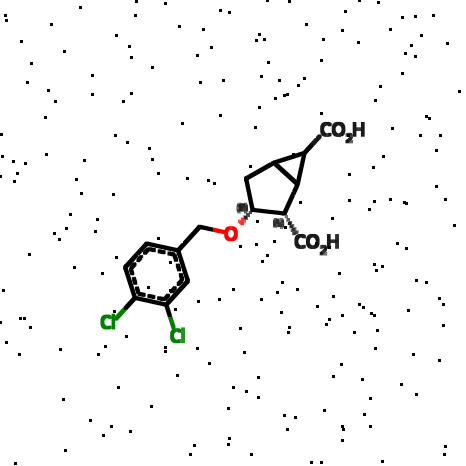 O=C(O)C1C2C[C@@H](OCc3ccc(Cl)c(Cl)c3)[C@@H](C(=O)O)C21